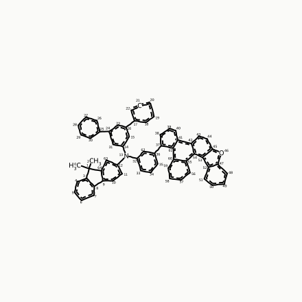 CC1(C)c2ccccc2-c2ccc(N(c3cc(-c4ccccc4)cc(-c4ccccc4)c3)c3cccc(-c4cccc5c6ccc7oc8ccccc8c7c6c6ccccc6c45)c3)cc21